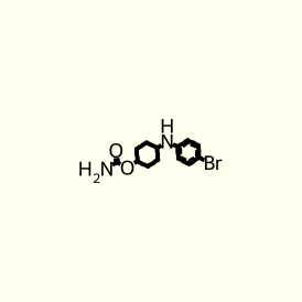 NC(=O)OC1CCC(Nc2ccc(Br)cc2)CC1